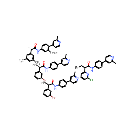 CCCC(C(=O)Nc1ccc(-c2ccnc(C)c2)cc1)c1cccc(Br)c1.CCCC(C(=O)Nc1ccc(-c2ccnc(C)c2)cc1)c1cccc(Br)c1.COc1cc(NC(=O)[C@@H](C)c2cc(C(F)(F)F)cc(C(F)(F)F)c2)ccc1-c1ccnc(C)c1.Cc1cc(-c2ccc(NC(=O)C(CC(C)C)c3cccc(Cl)n3)cc2)ccn1